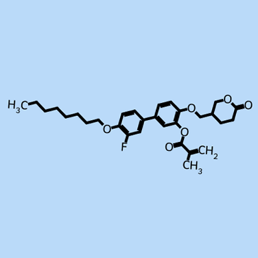 C=C(C)C(=O)Oc1cc(-c2ccc(OCCCCCCCC)c(F)c2)ccc1OCC1CCC(=O)OC1